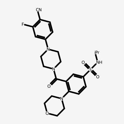 CC(C)NS(=O)(=O)c1ccc(N2CCOCC2)c(C(=O)N2CCN(c3ccc(C#N)c(F)c3)CC2)c1